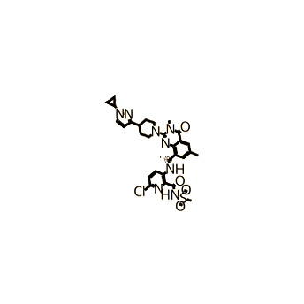 Cc1cc([C@@H](C)Nc2ccc(Cl)nc2C(=O)NS(C)(=O)=O)c2nc(N3CCC(c4ccn(C5CC5)n4)CC3)n(C)c(=O)c2c1